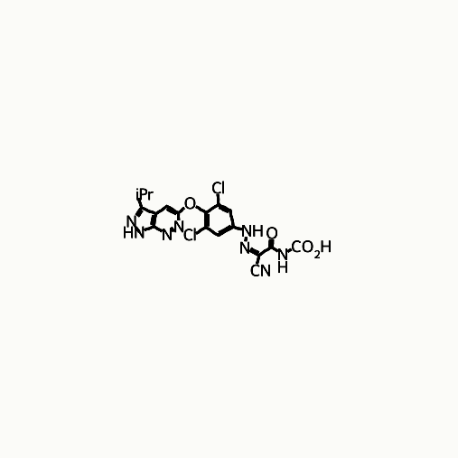 CC(C)c1n[nH]c2nnc(Oc3c(Cl)cc(N/N=C(/C#N)C(=O)NC(=O)O)cc3Cl)cc12